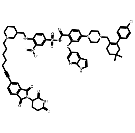 CC1(C)CCC(CN2CCN(c3ccc(C(=O)NS(=O)(=O)c4ccc(NCC5CCCN(CCCCCC#Cc6ccc7c(c6)C(=O)N(C6CCC(=O)NC6=O)C7=O)C5)c([N+](=O)[O-])c4)c(Oc4cnc5[nH]ccc5c4)c3)CC2)=C(c2ccc(Cl)cc2)C1